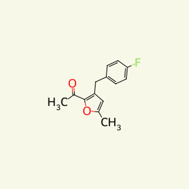 CC(=O)c1oc(C)cc1Cc1ccc(F)cc1